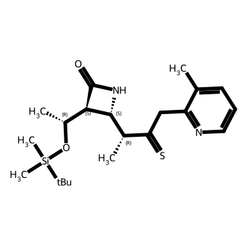 Cc1cccnc1CC(=S)[C@H](C)[C@H]1NC(=O)[C@@H]1[C@@H](C)O[Si](C)(C)C(C)(C)C